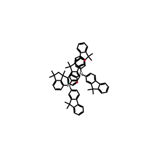 CC1(C)CC(C)(c2cccc(N(c3ccc4c(c3)C(C)(C)c3ccccc3-4)c3ccc4c(c3)C(C)(C)c3ccccc3-4)c2)c2c(N(c3ccc4c(c3)C(C)(C)c3ccccc3-4)c3ccc4c(c3)C(C)(C)c3ccccc3-4)cccc21